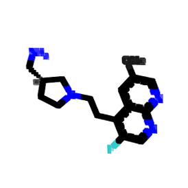 COc1cnc2ncc(F)c(CCN3CC[C@H](CN)C3)c2c1